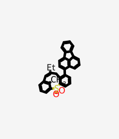 CC/C1=C/c2cccc(c2C)S(=O)(=O)c2cccc(-c3ccc4c5c(cccc35)-c3ccccc3-4)c2C1